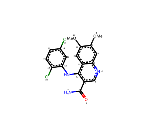 COc1cc2ncc(C(N)=O)c(Nc3cc(Cl)ccc3Cl)c2cc1OC